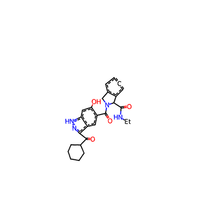 CCNC(=O)C1c2ccccc2CN1C(=O)c1cc2c(C(=O)C3CCCCC3)n[nH]c2cc1O